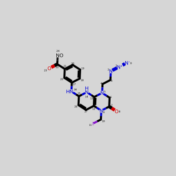 [N-]=[N+]=NCCN1CC(=O)N(CI)C2=C1NC(Nc1cccc(C(=O)N=O)c1)C=C2